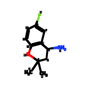 CC1(C)C[C@H](N)c2cc(F)ccc2O1